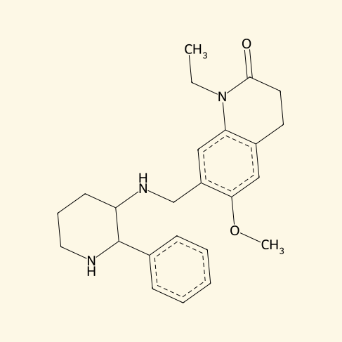 CCN1C(=O)CCc2cc(OC)c(CNC3CCCNC3c3ccccc3)cc21